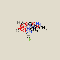 CCC(OC(=O)OC1CCCCC1)Oc1c(C(=O)NCc2ccc(F)cc2)nc(C(C)(C)NC(=O)c2nnc(C)o2)n(C)c1=O